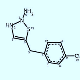 NN1NC=C(Cc2ccc(Cl)cc2)S1